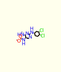 CNc1nc(Nc2ccc(Cl)c(Cl)c2)ncc1NC(=O)OC